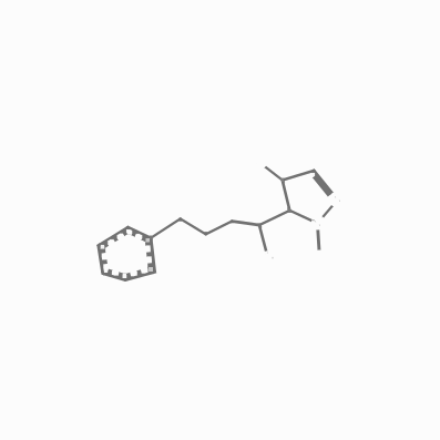 CN1N=CC(Br)C1C(O)CCCc1ccccc1